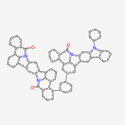 O=c1c2ccccc2c2cccc3c4cc5c(cc4n1c23)c1cccc2c3c(-c4cccc(-c6cc7c8ccccc8c(=O)n8c9cc%10c(cc9c(c6)c78)c6ccccc6n%10-c6ccccc6)c4)cccc3c(=O)n5c12